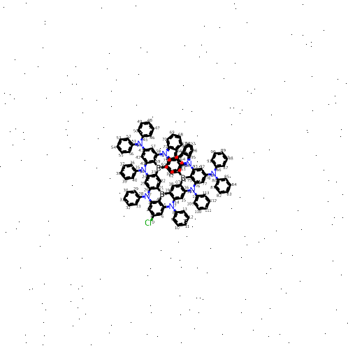 Clc1cc2c3c(c1)N(c1ccccc1)c1cc4c(cc1B3c1cc3c(cc1N2c1ccccc1)N(c1ccccc1)c1cc(N(c2ccccc2)c2ccccc2)cc2c1B3c1cccc3c5ccccc5n-2c13)B1c2c(cc(N(c3ccccc3)c3ccccc3)cc2-n2c3ccccc3c3cccc1c32)N4c1ccccc1